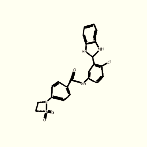 O=C(Nc1ccc(Cl)c(C2Nc3ccccc3N2)c1)c1ccc(N2CCS2(=O)=O)cc1